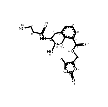 Cc1oc(=O)oc1COC(=O)c1cccc2c1OB(O)C(NC(=O)CCC#N)C2